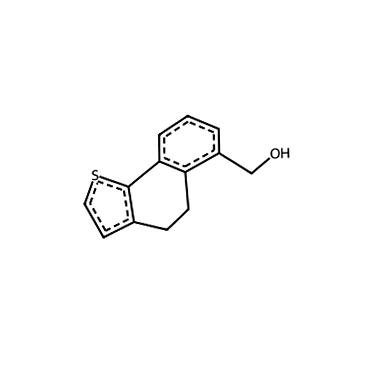 OCc1cccc2c1CCc1ccsc1-2